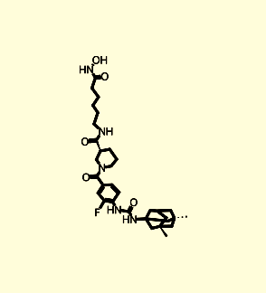 C[C@]12CC3CC(NC(=O)Nc4ccc(C(=O)N5CCC[C@H](C(=O)NCCCCCC(=O)NO)C5)cc4F)(C1)C[C@@](C)(C3)C2